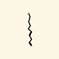 [CH2]CCCCC=CCC=C